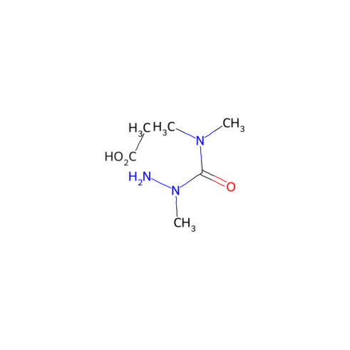 CC(=O)O.CN(C)C(=O)N(C)N